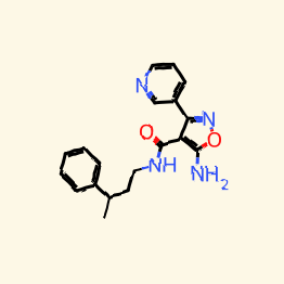 CC(CCNC(=O)c1c(-c2cccnc2)noc1N)c1ccccc1